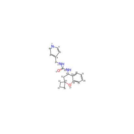 O=C(NCc1ccncc1)NC1CC2(CCC2)Oc2ccccc21